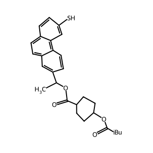 CCC(C)C(=O)OC1CCC(C(=O)OC(C)c2ccc3c(ccc4ccc(S)cc43)c2)CC1